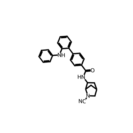 N#CN1CC2CC(NC(=O)c3ccc(-c4ccccc4Nc4ccccc4)cc3)C1C2